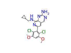 COc1cc(OC)c(Cl)c(-c2cc3cnc(N)nc3c(NCC3CC3)n2)c1Cl